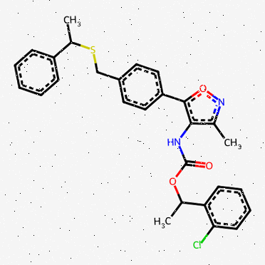 Cc1noc(-c2ccc(CSC(C)c3ccccc3)cc2)c1NC(=O)OC(C)c1ccccc1Cl